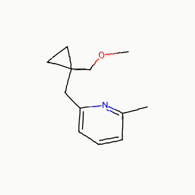 COCC1(Cc2cccc(C)n2)CC1